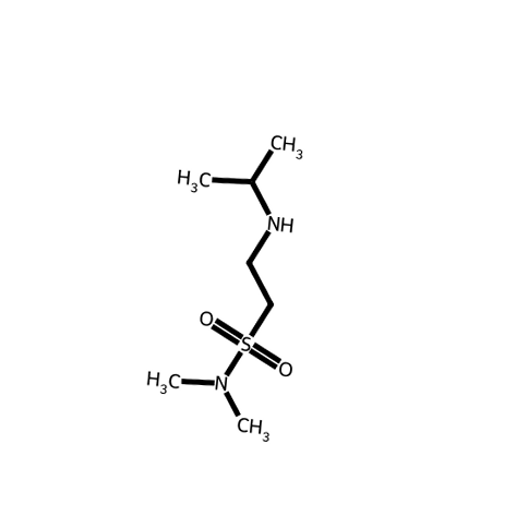 CC(C)NCCS(=O)(=O)N(C)C